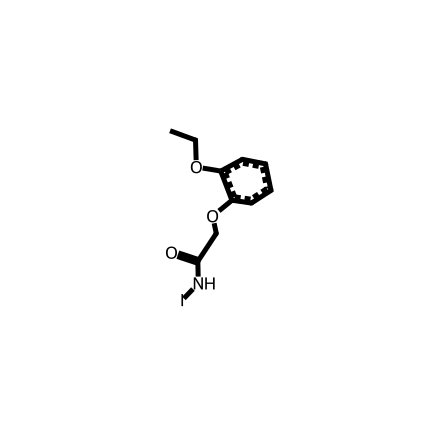 CCOc1ccccc1OCC(=O)NI